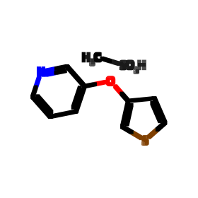 CS(=O)(=O)O.c1cncc(Oc2ccsc2)c1